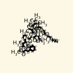 CCC(C)[C@@H]([C@@H](CC(=O)N1CCC[C@H]1[C@H](OC)[C@@H](C)C(=O)NC(Cc1ccccc1)C(=O)OC)OC)N(C)C(=O)[C@@H](NC(=O)[C@H](C(C)C)N(C)C(=O)COCCOCCN=[N+]=[N-])C(C)C